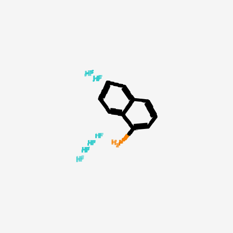 F.F.F.F.F.F.Pc1cccc2ccccc12